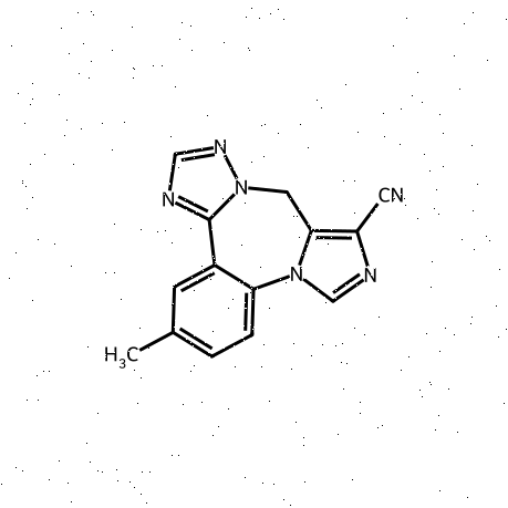 Cc1ccc2c(c1)-c1ncnn1Cc1c(C#N)ncn1-2